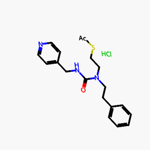 CC(=O)SCCN(CCc1ccccc1)C(=O)NCc1ccncc1.Cl